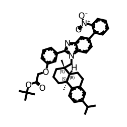 CC(C)c1ccc2c(c1)CC[C@H]1[C@@](C)(Cn3c(-c4cccc(OCC(=O)OC(C)(C)C)c4)nc4cc(-c5ccccc5[N+](=O)[O-])ccc43)CCC[C@]21C